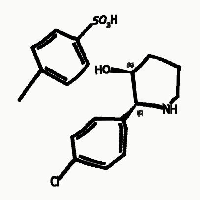 Cc1ccc(S(=O)(=O)O)cc1.O[C@H]1CCCN[C@H]1c1ccc(Cl)cc1